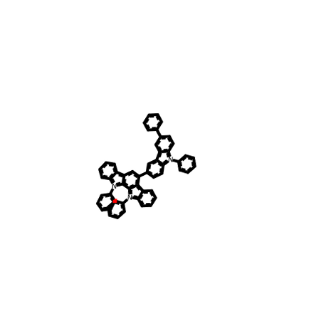 c1ccc(-c2ccc3c(c2)c2cc(-c4cc5c6ccccc6n(-c6ccccc6)c5c5c4c4ccccc4n5-c4ccccc4)ccc2n3-c2ccccc2)cc1